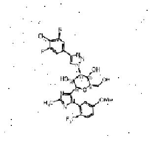 COc1ccc(C(F)(F)F)c(-n2nc(C)nc2[C@@H]2O[C@H](CO)[C@H](O)[C@H](n3cc(-c4cc(F)c(Cl)c(F)c4)nn3)[C@H]2O)c1